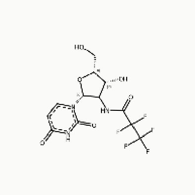 O=C(NC1[C@@H](O)[C@@H](CO)O[C@H]1n1ccc(=O)[nH]c1=O)C(F)(F)C(F)(F)F